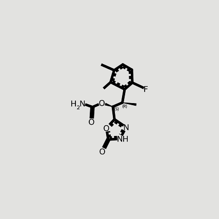 Cc1ccc(F)c([C@@H](C)[C@H](OC(N)=O)c2n[nH]c(=O)o2)c1C